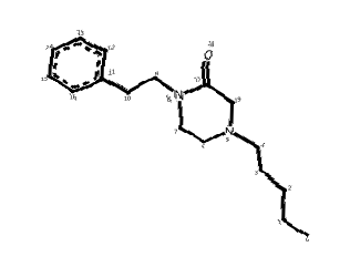 CCCCCN1CCN(CCc2ccccc2)C(=O)C1